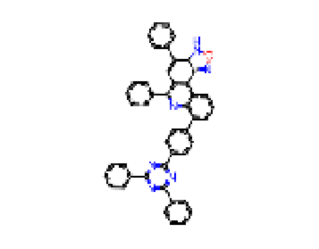 C1=C(c2ccccc2)C2NON=C2c2c1c(-c1ccccc1)nc1c(-c3ccc(-c4nc(-c5ccccc5)nc(-c5ccccc5)n4)cc3)cccc21